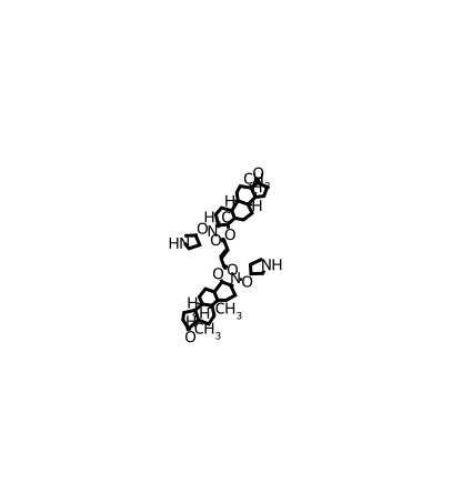 C[C@]12CC/C(=N\O[C@@H]3CCNC3)C(OC(=O)/C=C/C(=O)OC3/C(=N/O[C@@H]4CCNC4)CC[C@@]4(C)C3CC[C@@H]3[C@H]4CC[C@]4(C)C(=O)CC[C@@H]34)C1CC[C@@H]1[C@H]2CC[C@]2(C)C(=O)CC[C@@H]12